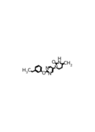 C=C1CCN(c2cnc(Oc3cccc(CC)c3)nc2)C(=O)N1